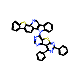 c1ccc(-c2nc(-c3ccccc3)c3c(n2)sc2c(-n4c5ccccc5c5cnc6c(ccc7c8ccccc8sc76)c54)ncnc23)cc1